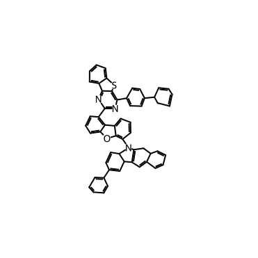 C1=CCC(c2ccc(-c3nc(-c4cccc5oc6c(N7C8=C(C=C9C=CC=CC9C8)C8C=C(c9ccccc9)C=CC87)cccc6c45)nc4c3sc3ccccc34)cc2)C=C1